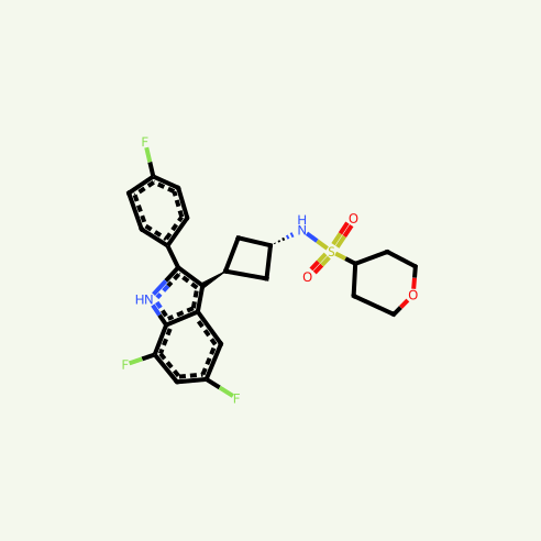 O=S(=O)(N[C@H]1C[C@H](c2c(-c3ccc(F)cc3)[nH]c3c(F)cc(F)cc32)C1)C1CCOCC1